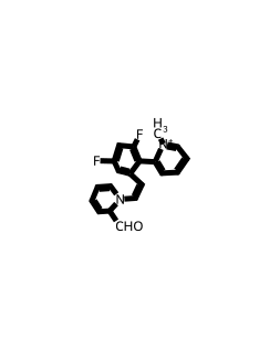 C[n+]1ccccc1-c1c(F)cc(F)cc1/C=C\N1C=CC=CC1C=O